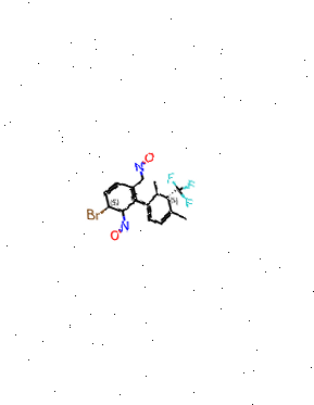 CC1=CC=C(C2=C(CN=O)C=C[C@H](Br)C2N=O)C(C)[C@@H]1C(F)(F)F